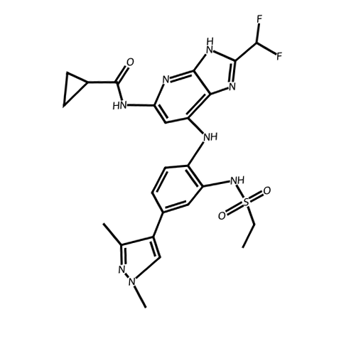 CCS(=O)(=O)Nc1cc(-c2cn(C)nc2C)ccc1Nc1cc(NC(=O)C2CC2)nc2[nH]c(C(F)F)nc12